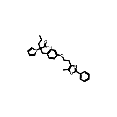 CCCC(Cc1ccc(OCCc2nc(-c3ccccc3)oc2C)cc1)(C(=O)O)n1cccc1